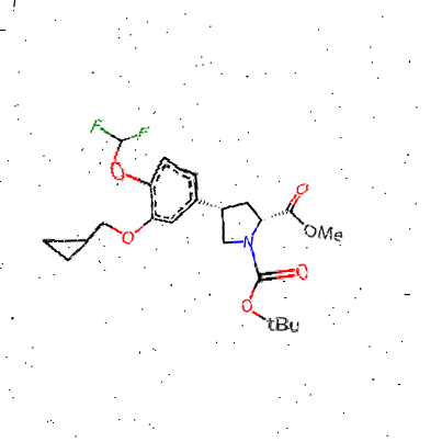 COC(=O)[C@H]1C[C@@H](c2ccc(OC(F)F)c(OCC3CC3)c2)CN1C(=O)OC(C)(C)C